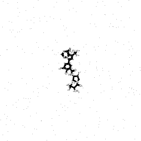 CC(C(=O)N1C[C@H](F)[C@H](NC(=O)c2cc(-c3cc(C(F)(F)F)c4c(N)ncnn34)cc(F)c2Cl)C1)C(F)(F)F